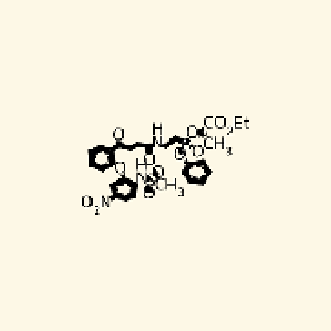 CCOC(=O)[C@@H](C)OP(=O)(CCNC(=O)CCC(=O)c1ccccc1Oc1cc([N+](=O)[O-])ccc1NS(C)(=O)=O)Oc1ccccc1